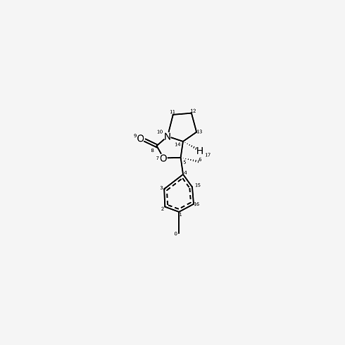 Cc1ccc([C@@]2(C)OC(=O)N3CCC[C@H]32)cc1